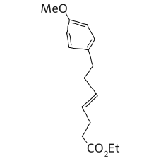 CCOC(=O)CCC=CCCc1ccc(OC)cc1